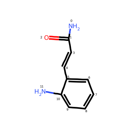 NC(=O)C=Cc1ccccc1N